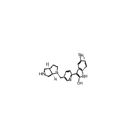 Nc1ccc2[nH]c(O)c(-c3ccc(CN4CC[C@@H]5CNC[C@@H]54)cn3)c2c1